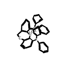 C[PH](c1ccccc1)(c1ccccc1)c1cccc2c1Oc1c(cccc1P(c1ccccc1)c1ccccc1)CC2